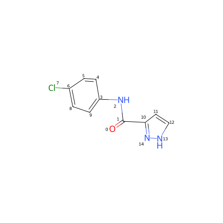 O=C(Nc1ccc(Cl)cc1)c1cc[nH]n1